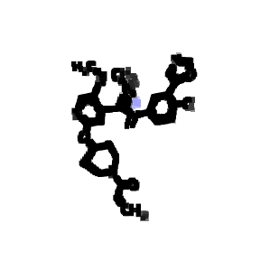 C=CC(=O)N1CCC(Oc2cc(/C(=N\C)Nc3ccc(Cl)c(-c4cnco4)c3)c(N=C)cn2)CC1